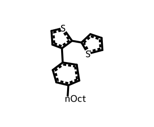 CCCCCCCCc1ccc(-c2ccsc2-c2cccs2)cc1